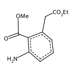 CCOC(=O)Cc1cccc(N)c1C(=O)OC